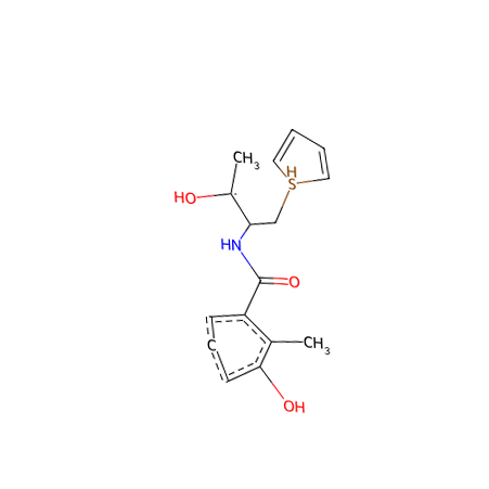 C[C](O)C(C[SH]1C=CC=C1)NC(=O)c1cccc(O)c1C